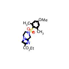 CCOC(=O)c1cn2c(n1)CN(S(=O)(=O)c1c(C)cc(OC)cc1C)CC2